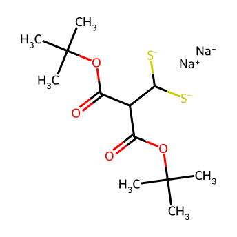 CC(C)(C)OC(=O)C(C(=O)OC(C)(C)C)C([S-])[S-].[Na+].[Na+]